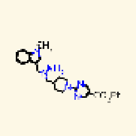 CCOC(=O)c1cnc(N2CCC(CN(N)Cc3cn(C)c4ccccc34)CC2)nc1